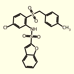 Cc1ccc(CS(=O)(=O)c2ccc(Cl)cc2NS(=O)(=O)c2cc3ccccc3o2)cc1